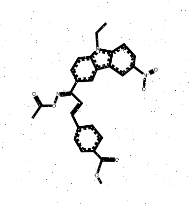 CCn1c2ccc(C(/C=C/c3ccc(C(=O)OC)cc3)=N/OC(C)=O)cc2c2cc([N+](=O)[O-])ccc21